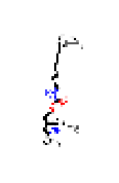 CCCCCCCCCNC(=O)OCCc1cc(C)[nH]c1C